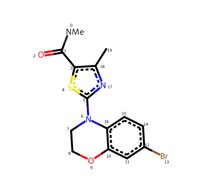 CNC(=O)c1sc(N2CCOc3cc(Br)ccc32)nc1C